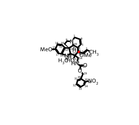 C/C=C/CC12C=CCN3CC[C@@]4(c5ccc(OC)cc5N(C)[C@H]4C(O)(CNC(=O)OCc4ccccc4[N+](=O)[O-])[C@@H]1OC)[C@@H]32